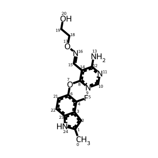 Cc1cc2c(F)c(Oc3ncnc(N)c3/C=N/OCCO)ccc2[nH]1